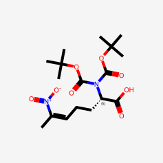 CC(=CCC[C@@H](C(=O)O)N(C(=O)OC(C)(C)C)C(=O)OC(C)(C)C)[N+](=O)[O-]